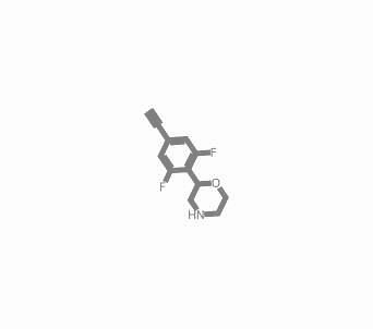 C#Cc1cc(F)c(C2CNCCO2)c(F)c1